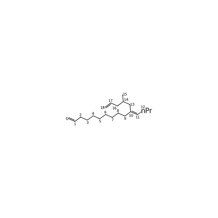 C=CCCCCCCCCC(=CCCC)CC(C)CC=C